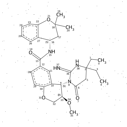 CCC1(CC)CC(=O)N([C@H]2c3cc(C(=O)N[C@H]4CC(C)(C)Oc5ccccc54)ccc3OC[C@@H]2OC)C(=N)N1